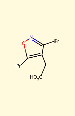 CC(C)c1noc(C(C)C)c1CC(=O)O